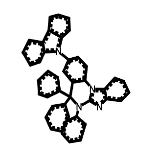 c1ccc(N2c3nc4ccccc4n3-c3ccc(-n4c5ccccc5c5ccccc54)cc3C2(c2ccccc2)c2ccccc2)cc1